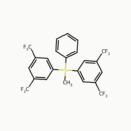 CS(c1ccccc1)(c1cc(C(F)(F)F)cc(C(F)(F)F)c1)c1cc(C(F)(F)F)cc(C(F)(F)F)c1